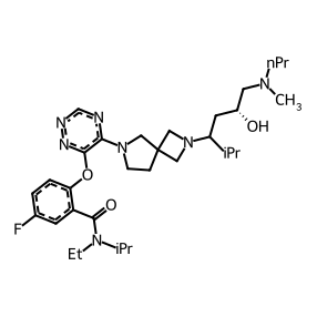 CCCN(C)C[C@H](O)CC(C(C)C)N1CC2(CCN(c3ncnnc3Oc3ccc(F)cc3C(=O)N(CC)C(C)C)C2)C1